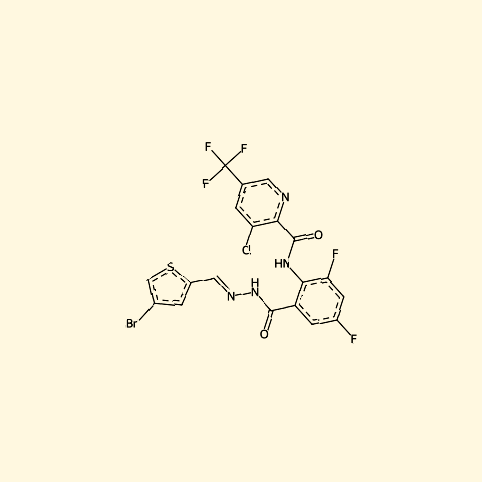 O=C(N/N=C/c1cc(Br)cs1)c1cc(F)cc(F)c1NC(=O)c1ncc(C(F)(F)F)cc1Cl